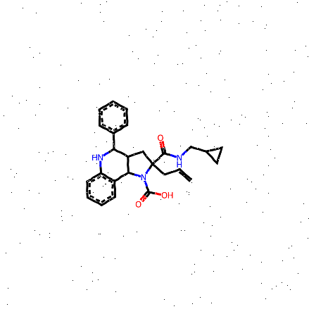 C=CCC1(C(=O)NCC2CC2)CC2C(c3ccccc3)Nc3ccccc3C2N1C(=O)O